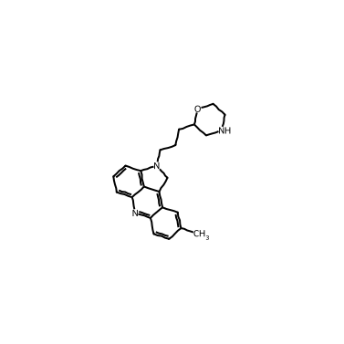 Cc1ccc2nc3cccc4c3c(c2c1)CN4CCCC1CNCCO1